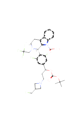 C[C@@H]1Cc2c(n(C(=O)O)c3ccccc23)[C@@H](c2c(F)cc(C(CCN3CC(CF)C3)OC(=O)OC(C)(C)C)cc2F)N1CC(F)(F)F